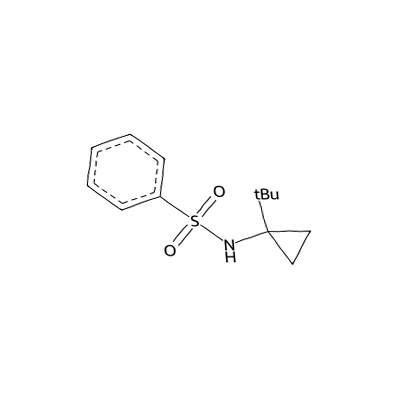 CC(C)(C)C1(NS(=O)(=O)c2ccccc2)CC1